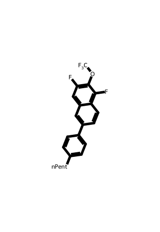 CCCCCc1ccc(-c2ccc3c(F)c(OC(F)(F)F)c(F)cc3c2)cc1